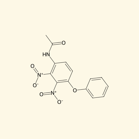 CC(=O)Nc1ccc(Oc2ccccc2)c([N+](=O)[O-])c1[N+](=O)[O-]